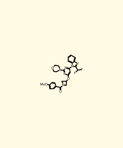 COc1ccc(C(=O)N2CC(Oc3cc(-n4c(C(F)F)nc5ccccc54)nc(N4CCOCC4)n3)C2)cc1